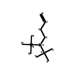 C=CCCN([Si](C)(C)C)[Si](C)(C)C